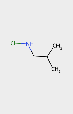 CC(C)CNCl